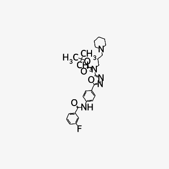 CC(C)(C)OC(=O)N(CCCN1CCCCC1)c1nnc(-c2ccc(NC(=O)c3cccc(F)c3)cc2)o1